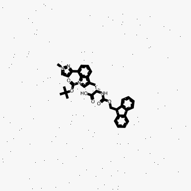 Cn1ccc(-c2cccc3c(C[C@H](NC(=O)OCC4c5ccccc5-c5ccccc54)C(=O)O)cn(C(=O)OC(C)(C)C)c23)n1